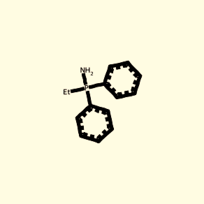 CC[P](N)(c1ccccc1)c1ccccc1